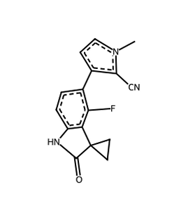 Cn1ccc(-c2ccc3c(c2F)C2(CC2)C(=O)N3)c1C#N